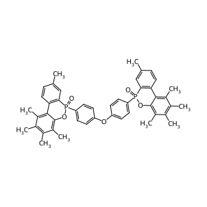 Cc1ccc2c(c1)P(=O)(c1ccc(Oc3ccc(P4(=O)Oc5c(C)c(C)c(C)c(C)c5-c5ccc(C)cc54)cc3)cc1)Oc1c(C)c(C)c(C)c(C)c1-2